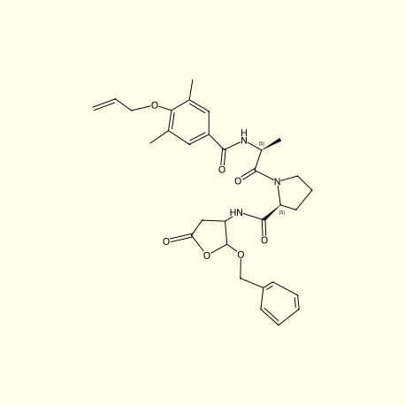 C=CCOc1c(C)cc(C(=O)N[C@@H](C)C(=O)N2CCC[C@H]2C(=O)NC2CC(=O)OC2OCc2ccccc2)cc1C